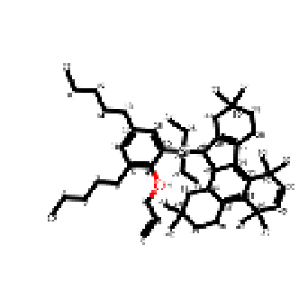 C=CCOc1c(CCCCC)cc(CCCCC)cc1[Si](CC)(CC)C1C2=C(CCC(C)(C)C2)C2=C3C(=C4CCC(C)(C)CC4C21)C(C)(C)C=CC3(C)C